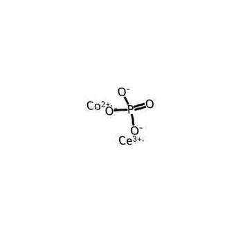 O=P([O-])([O-])[O-].[Ce+3].[Co+2]